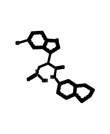 O=C(Nc1ccc2ccccc2c1)C(C[PH](=O)O)c1coc2ccc(Cl)cc12